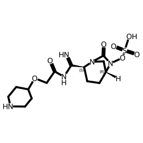 N=C(NC(=O)COC1CCNCC1)[C@@H]1CC[C@@H]2CN1C(=O)N2OS(=O)(=O)O